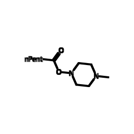 CCCCCC(=O)ON1CCN(C)CC1